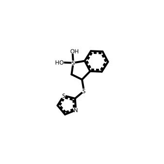 OS1(O)CC(Sc2nccs2)c2ccccc21